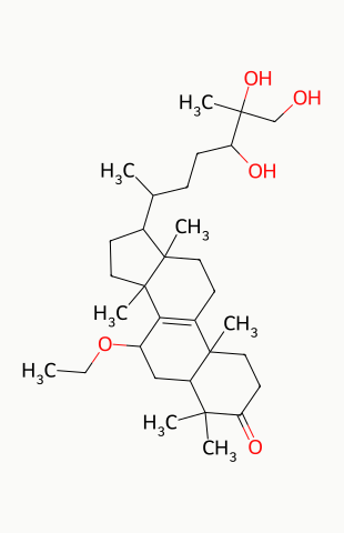 CCOC1CC2C(C)(C)C(=O)CCC2(C)C2=C1C1(C)CCC(C(C)CCC(O)C(C)(O)CO)C1(C)CC2